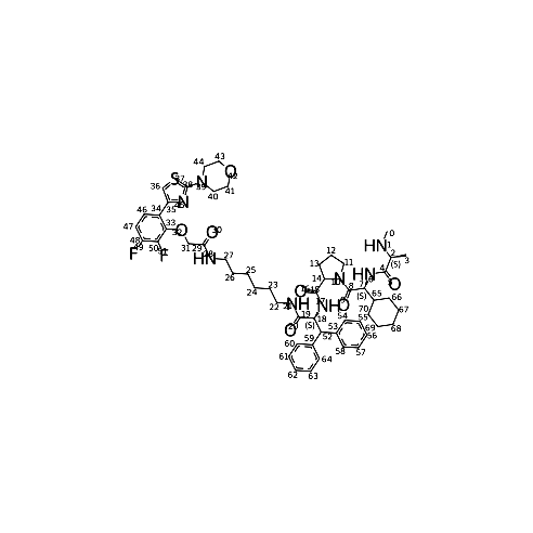 CN[C@@H](C)C(=O)N[C@H](C(=O)N1CCCC1C(=O)N[C@H](C(=O)NCCCCCCNC(=O)COc1c(-c2csc(N3CCOCC3)n2)ccc(F)c1F)C(c1ccccc1)c1ccccc1)C1CCCCC1